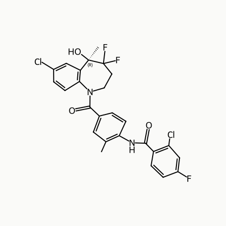 Cc1cc(C(=O)N2CCC(F)(F)[C@](C)(O)c3cc(Cl)ccc32)ccc1NC(=O)c1ccc(F)cc1Cl